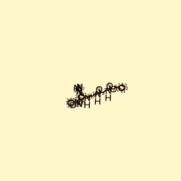 O=C(CCNC(=O)OCc1ccccc1)NCCCNc1cc(-n2cnnc2)cc2c1cnn2C1CCCCO1